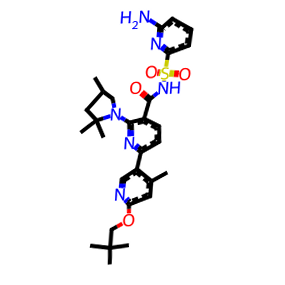 Cc1cc(OCC(C)(C)C)ncc1-c1ccc(C(=O)NS(=O)(=O)c2cccc(N)n2)c(N2CC(C)CC2(C)C)n1